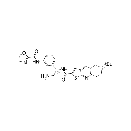 CC(C)(C)[C@@H]1CCc2nc3sc(C(=O)N[C@H](CN)c4cccc(NC(=O)c5ncco5)c4)cc3cc2C1